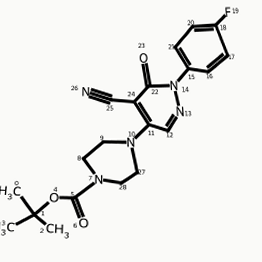 CC(C)(C)OC(=O)N1CCN(c2cnn(-c3ccc(F)cc3)c(=O)c2C#N)CC1